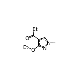 CCOc1nn(C)cc1C(=O)CC